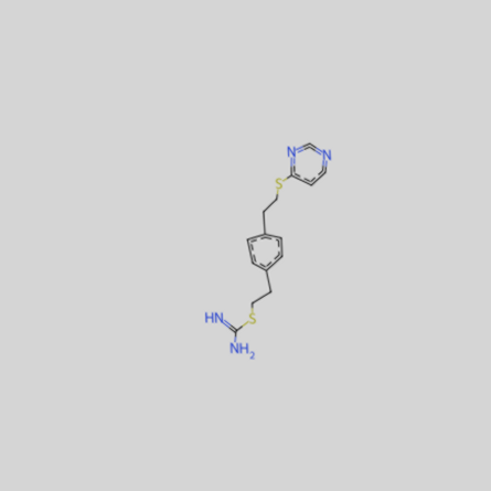 N=C(N)SCCc1ccc(CCSc2ccncn2)cc1